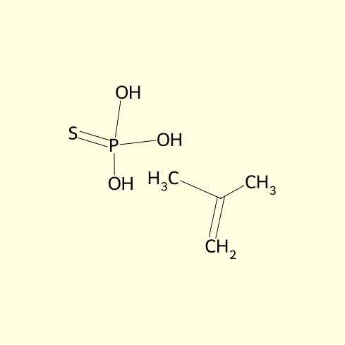 C=C(C)C.OP(O)(O)=S